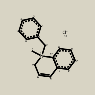 C[N+]1(Cc2ccccc2)CC=Cc2ccccc21.[Cl-]